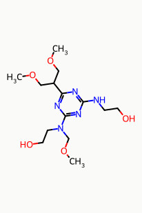 COCC(COC)c1nc(NCCO)nc(N(CCO)COC)n1